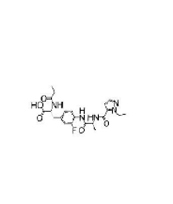 CCC(=O)N[C@H](Cc1ccc(NC(=O)[C@H](C)NC(=O)c2ccnn2CC)c(F)c1)C(=O)O